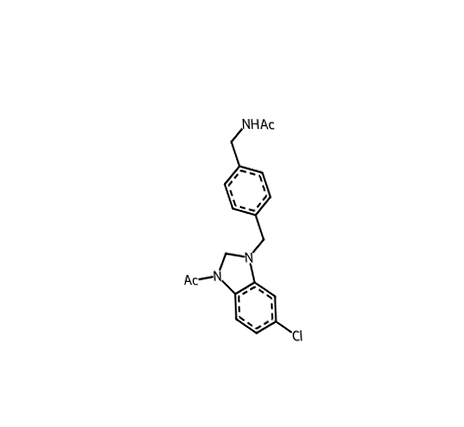 CC(=O)NCc1ccc(CN2CN(C(C)=O)c3ccc(Cl)cc32)cc1